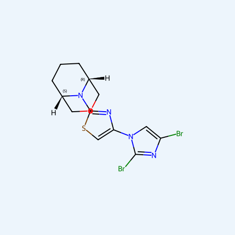 Brc1cn(-c2csc(N3[C@@H]4CCC[C@H]3COC4)n2)c(Br)n1